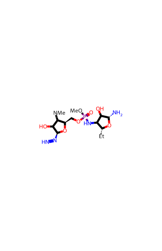 CC[C@H]1O[C@@H](N)C(O)C1NP(=O)(OC)OC[C@H]1O[C@@H](N=N)C(O)C1NC